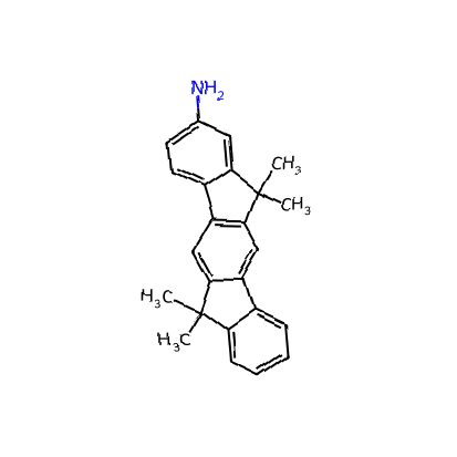 CC1(C)c2ccccc2-c2cc3c(cc21)-c1ccc(N)cc1C3(C)C